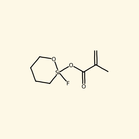 C=C(C)C(=O)O[Si]1(F)CCCCO1